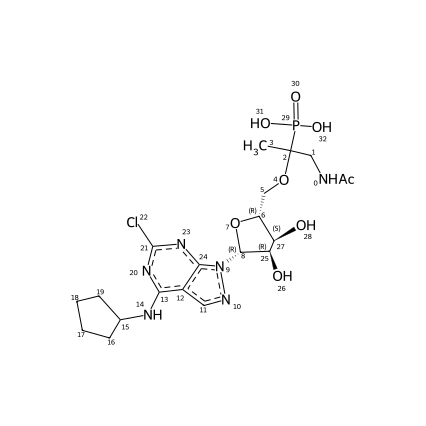 CC(=O)NCC(C)(OC[C@H]1O[C@@H](n2ncc3c(NC4CCCC4)nc(Cl)nc32)[C@H](O)[C@@H]1O)P(=O)(O)O